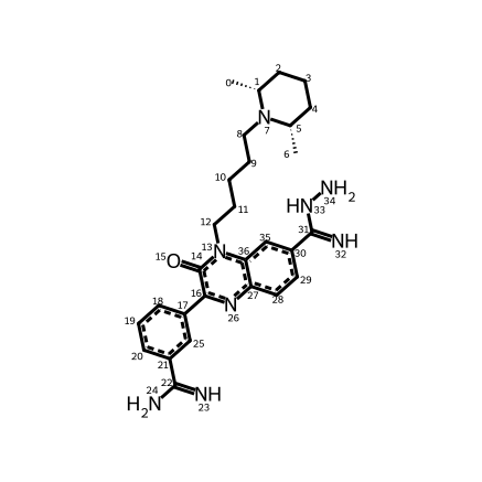 C[C@@H]1CCC[C@H](C)N1CCCCCn1c(=O)c(-c2cccc(C(=N)N)c2)nc2ccc(C(=N)NN)cc21